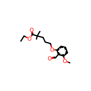 CCOC(=O)C(C)(C)CCCOc1cccc(OC)c1C=O